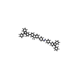 CC1(C)c2cc(-c3ccc(/C=C/c4ccc(-c5ccc6c(c5)c5ccccc5n6-c5ccccc5)cc4)cc3)ccc2-c2ccc(-c3ccc4c(c3)c3ccccc3n4-c3ccccc3)cc21